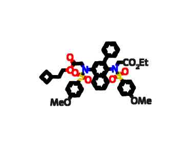 CCOC(=O)CN(c1c(-c2ccccc2)cc(N(CC(=O)OCCC2CCC2)S(=O)(=O)c2ccc(OC)cc2)c2ccccc12)S(=O)(=O)c1ccc(OC)cc1